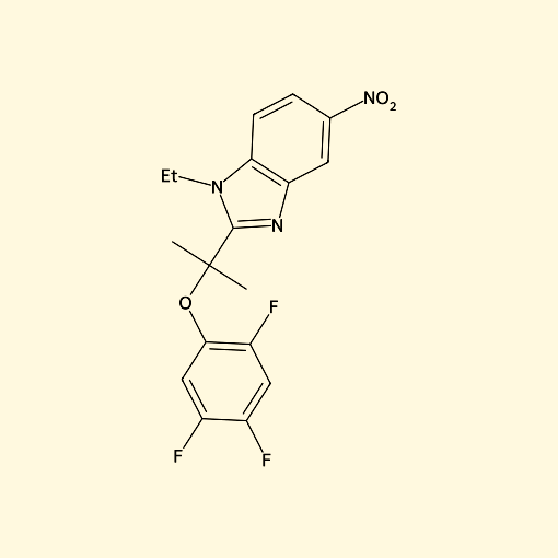 CCn1c(C(C)(C)Oc2cc(F)c(F)cc2F)nc2cc([N+](=O)[O-])ccc21